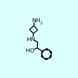 NC1CC(NCC(O)c2ccccc2)C1